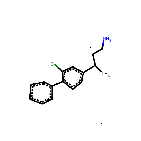 CC(CCN)c1ccc(-c2ccccc2)c(Cl)c1